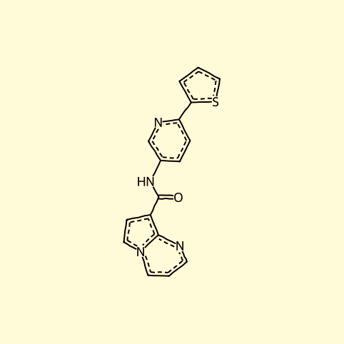 O=C(Nc1ccc(-c2cccs2)nc1)c1ccn2cccnc12